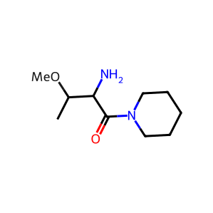 COC(C)C(N)C(=O)N1CCCCC1